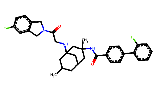 CC1CC2CC(C)(NC(=O)c3ccc(-c4ccccc4F)cc3)CC(NCC(=O)N3Cc4ccc(F)cc4C3)(C1)C2